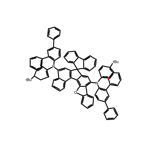 CC(C)(C)c1ccc(N(c2ccc(-c3ccccc3)cc2-c2ccccc2)c2cc3c(c4oc5ccccc5c24)-c2c(cc(N(C4=CCC(C(C)(C)C)C=C4)c4ccc(-c5ccccc5)cc4-c4ccccc4)c4ccccc24)C32c3ccccc3-c3ccccc32)cc1